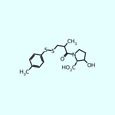 Cc1ccc(SSCC(C)C(=O)N2CCC(O)[C@H]2C(=O)O)cc1